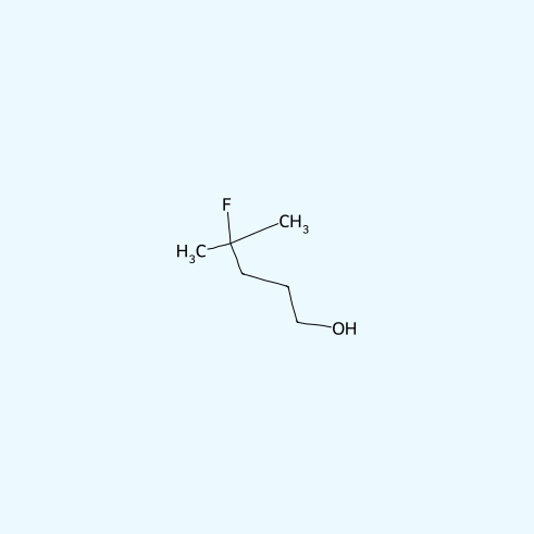 CC(C)(F)CCCO